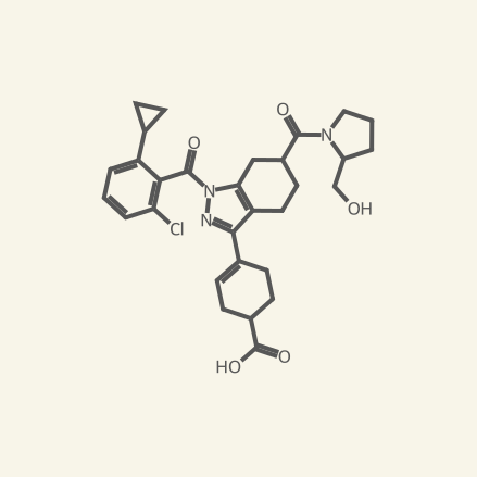 O=C(O)C1CC=C(c2nn(C(=O)c3c(Cl)cccc3C3CC3)c3c2CCC(C(=O)N2CCCC2CO)C3)CC1